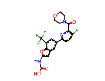 CN(C(=O)O)c1cc2cc(-c3ccc(F)c(C(=O)N4CCOCC4)n3)cc(C(F)(F)F)c2o1